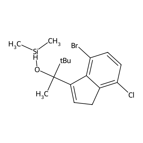 C[SiH](C)OC(C)(C1=CCc2c(Cl)ccc(Br)c21)C(C)(C)C